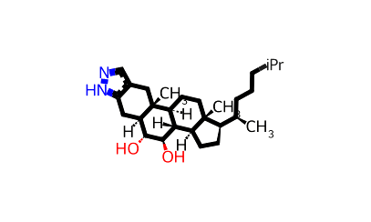 CC(C)CCC[C@@H](C)[C@H]1CC[C@H]2[C@@H]3[C@@H](O)[C@H](O)[C@H]4Cc5[nH]ncc5C[C@]4(C)[C@H]3CC[C@]12C